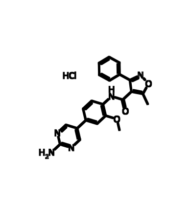 COc1cc(-c2cnc(N)nc2)ccc1NC(=O)c1c(-c2ccccc2)noc1C.Cl